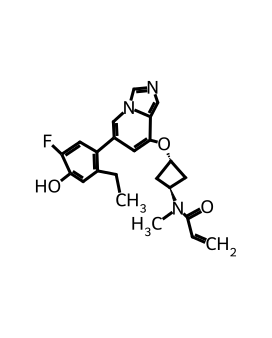 C=CC(=O)N(C)[C@H]1C[C@H](Oc2cc(-c3cc(F)c(O)cc3CC)cn3cncc23)C1